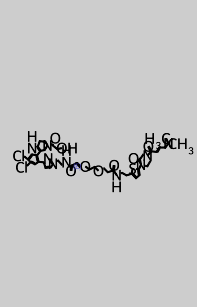 CN(C)CC=CC(=O)N1CCN(c2ccc(CCNC(=O)CCOCCO/C=C/C(=O)NCCn3ccc(-c4cc(Cl)c(Cl)c5[nH]c6c(c45)CN(C(=O)CO)CC6)n3)s2)C(=O)C1